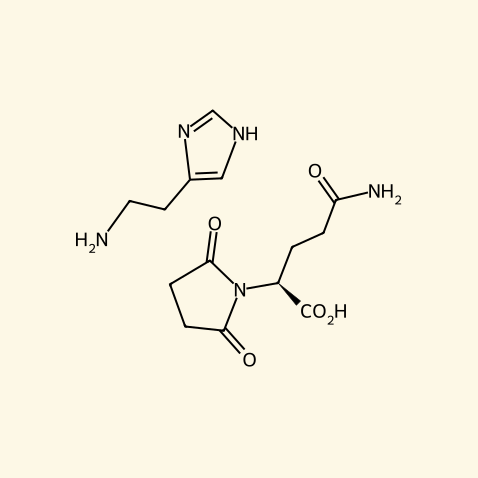 NC(=O)CC[C@@H](C(=O)O)N1C(=O)CCC1=O.NCCc1c[nH]cn1